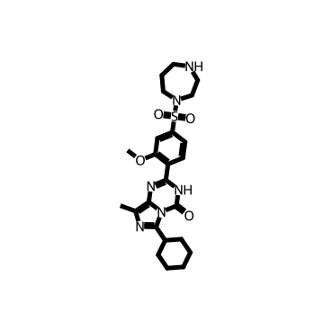 COc1cc(S(=O)(=O)N2CCCNCC2)ccc1-c1nc2c(C)nc(C3CCCCC3)n2c(=O)[nH]1